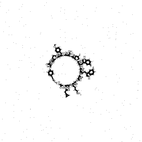 COc1ccc(C[C@@H]2NC(=O)[C@H]([C@@H](C)O)NC(=O)[C@@H]3C[C@H](F)CN3C(=O)[C@H](Cc3c[nH]c4ccc(F)cc34)NC(=O)[C@H](CCc3c[nH]c4ccc(F)cc34)NC(=O)[C@@H](C)NC(=O)[C@H](CCCCN)NC(=O)[C@@H](NC(=O)CC3CC3)CC(=O)NCCOc3ccc(cc3)C[C@@H](C(N)=O)NC(=O)[C@]3(C)CCCN3C2=O)cc1